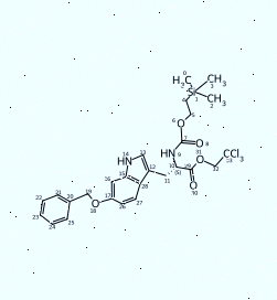 C[Si](C)(C)CCOC(=O)N[C@@H](Cc1c[nH]c2cc(OCc3ccccc3)ccc12)C(=O)OCC(Cl)(Cl)Cl